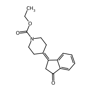 CCOC(=O)N1CCC(=C2CC(=O)c3ccccc32)CC1